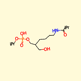 CC(C)OP(=O)(O)OCC(CO)CCCCNC(=O)C(C)C